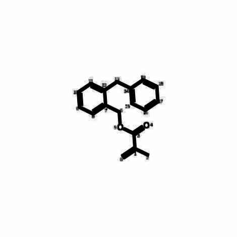 C=C(C)C(=O)OCc1ccccc1Cc1ccccc1